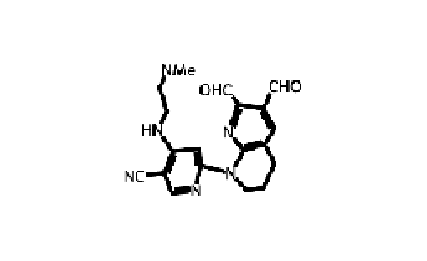 CNCCNc1cc(N2CCCc3cc(C=O)c(C=O)nc32)ncc1C#N